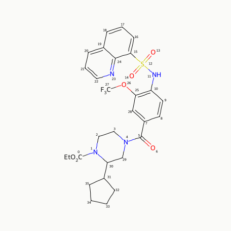 CCOC(=O)N1CCN(C(=O)c2ccc(NS(=O)(=O)c3cccc4cccnc34)c(OC(F)(F)F)c2)CC1C1CCCC1